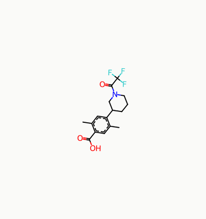 Cc1cc(C2CCCN(C(=O)C(F)(F)F)C2)c(C)cc1C(=O)O